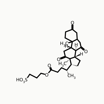 C[C@H](CCC(=O)OCCCS(=O)(=O)O)[C@H]1CC[C@H]2[C@@H]3C(=O)CC4CC(=O)CCC4(C)[C@H]3CC(=O)[C@]12C